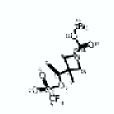 C=C(OS(=O)(=O)C(F)(F)F)C1(C)CN(C(=O)OC(C)(C)C)C1